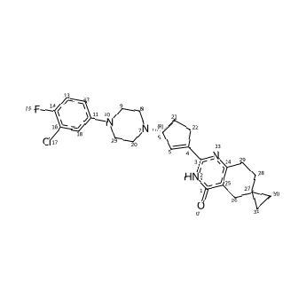 O=c1[nH]c(C2=C[C@H](N3CCN(c4ccc(F)c(Cl)c4)CC3)CC2)nc2c1CC1(CC2)CC1